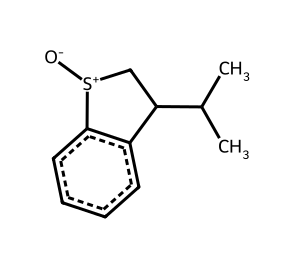 CC(C)C1C[S+]([O-])c2ccccc21